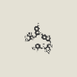 COCc1nn(Cc2cnc3cc(Cl)ccc3c2)cc1C(=O)NCc1cccc(OC)c1F.COCc1nn(Cc2cnc3cc(Cl)ccc3c2)cc1C(=O)O